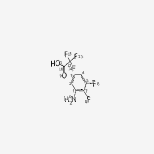 Nc1cccc(F)c1F.O=C(O)C(F)(F)F